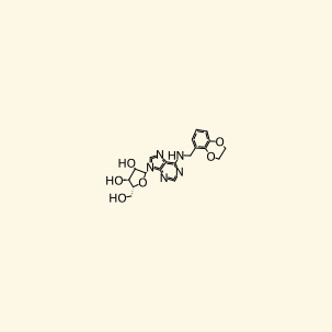 OC[C@H]1O[C@@H](n2cnc3c(NCc4cccc5c4OCCO5)ncnc32)[C@H](O)[C@@H]1O